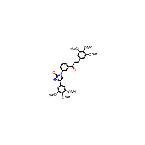 COc1cc(C=CC(=O)c2cccc(-n3cc(-c4cc(OC)c(OC)c(OC)c4)[nH]c3=O)c2)cc(OC)c1OC